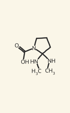 CNC1(NC)CCCN1C(=O)O